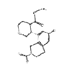 CC(C)(C)OC(=O)N1CCOC[C@H]1c1cc(Cl)cc2c1CN(C(=O)Cl)CC2